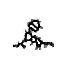 C=CC(=O)N1CCN(c2cn3ccccc3n2)C(=O)C1Cc1ccc(NC(C)=O)cc1